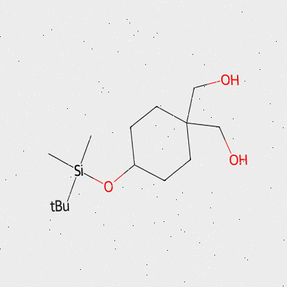 CC(C)(C)[Si](C)(C)OC1CCC(CO)(CO)CC1